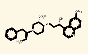 CC=C(Cc1ccccc1)N1CC[C@@H](CC[C@H](O)c2ccnc3ccc(OC)cc23)[C@@H](C(=O)O)C1